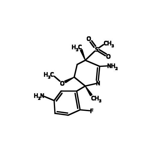 CO[C@H]1C[C@](C)(S(C)(=O)=O)C(N)=N[C@]1(C)c1cc(N)ccc1F